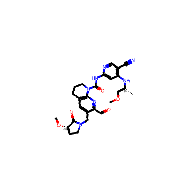 COC[C@@H](C)Nc1cc(NC(=O)N2CCCc3cc(CN4CC[C@H](OC)C4=O)c(C=O)nc32)ncc1C#N